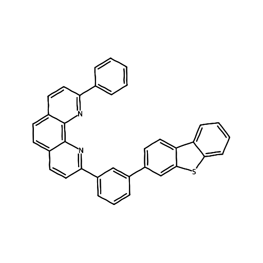 c1ccc(-c2ccc3ccc4ccc(-c5cccc(-c6ccc7c(c6)sc6ccccc67)c5)nc4c3n2)cc1